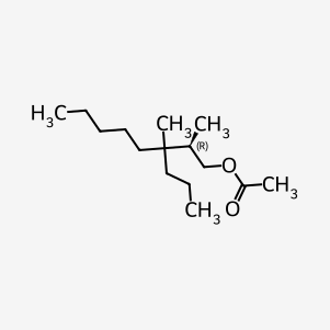 CCCCCC(C)(CCC)[C@@H](C)COC(C)=O